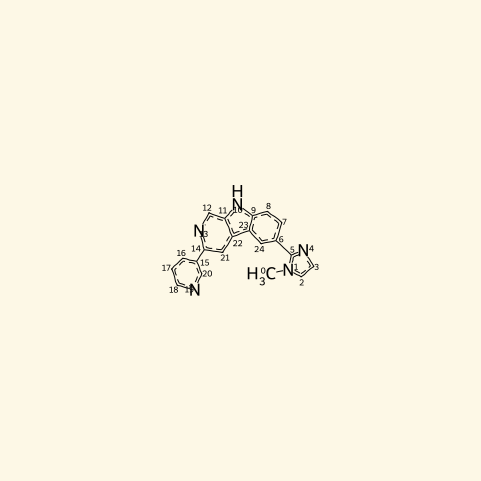 Cn1ccnc1-c1ccc2[nH]c3cnc(-c4cccnc4)cc3c2c1